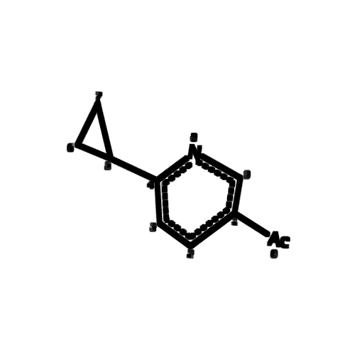 CC(=O)c1ccc(C2CC2)nc1